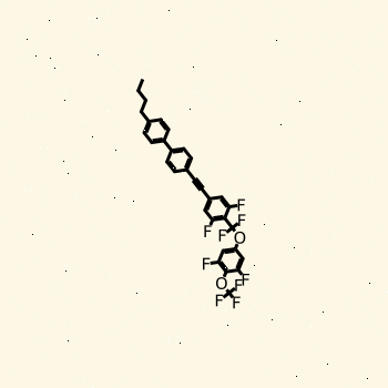 CCCCc1ccc(-c2ccc(C#Cc3cc(F)c(C(F)(F)Oc4cc(F)c(OC(F)(F)F)c(F)c4)c(F)c3)cc2)cc1